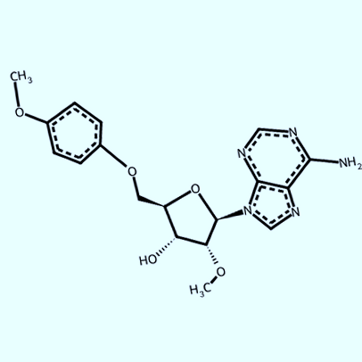 COc1ccc(OC[C@H]2O[C@@H](n3cnc4c(N)ncnc43)[C@H](OC)[C@@H]2O)cc1